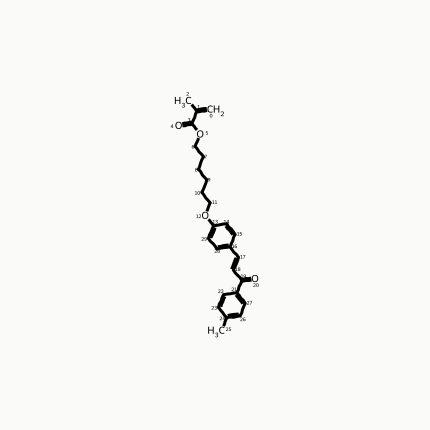 C=C(C)C(=O)OCCCCCCOc1ccc(/C=C/C(=O)c2ccc(C)cc2)cc1